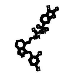 O=C(NCC=C1CCCc2cnn(Cc3ccc(Cl)cc3Cl)c21)NS(=O)(=O)c1ccc2[nH]c(=O)oc2c1